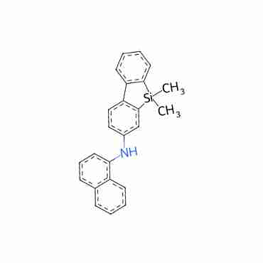 C[Si]1(C)c2ccccc2-c2ccc(Nc3cccc4ccccc34)cc21